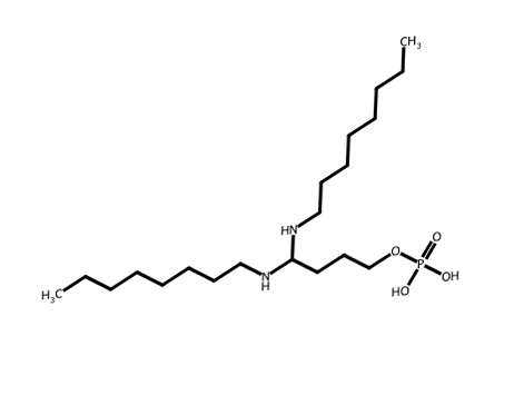 CCCCCCCCNC(CCCOP(=O)(O)O)NCCCCCCCC